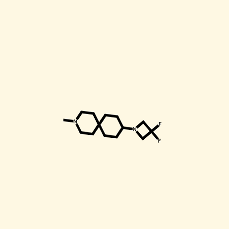 CN1CCC2(CCC(N3CC(F)(F)C3)CC2)CC1